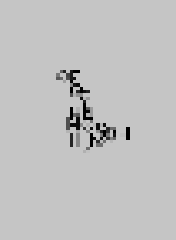 NC(=O)c1cc(C(O)CNCCc2cccc(OCC(F)(F)c3ccccc3)c2)ccc1O